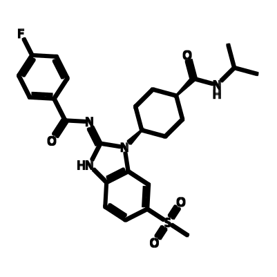 CC(C)NC(=O)[C@H]1CC[C@@H](n2/c(=N/C(=O)c3ccc(F)cc3)[nH]c3ccc(S(C)(=O)=O)cc32)CC1